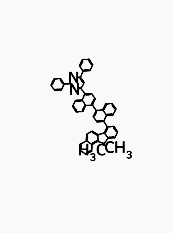 CC1(C)c2cccc(-c3ccc(-c4ccc(-c5cc(-c6ccccc6)nc(-c6ccccc6)n5)c5ccccc45)c4ccccc34)c2-c2ccc3ccccc3c21